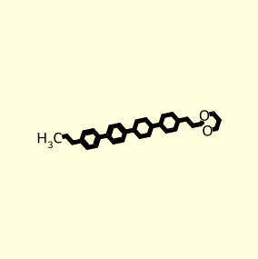 CCCc1ccc(-c2ccc(C3CCC(C4CCC(CCC5OCCCO5)CC4)CC3)cc2)cc1